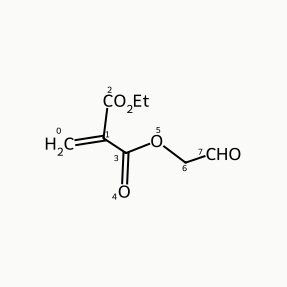 C=C(C(=O)OCC)C(=O)OCC=O